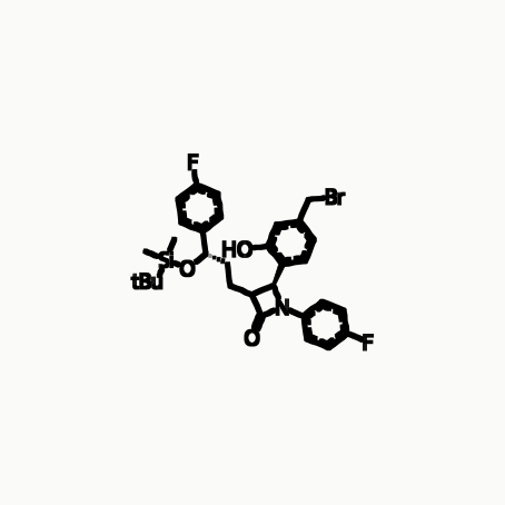 CC(C)(C)[Si](C)(C)O[C@@H](CCC1C(=O)N(c2ccc(F)cc2)[C@@H]1c1ccc(CBr)cc1O)c1ccc(F)cc1